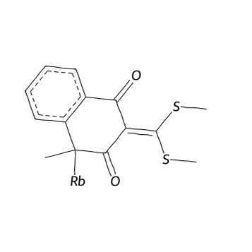 CSC(SC)=C1C(=O)c2ccccc2[C](C)([Rb])C1=O